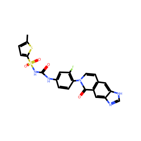 Cc1ccc(S(=O)(=O)NC(=O)Nc2ccc(-n3ccc4cc5[nH]cnc5cc4c3=O)c(F)c2)s1